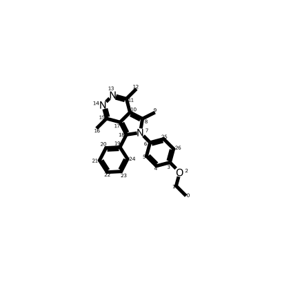 CCOc1ccc(-n2c(C)c3c(C)nnc(C)c3c2-c2ccccc2)cc1